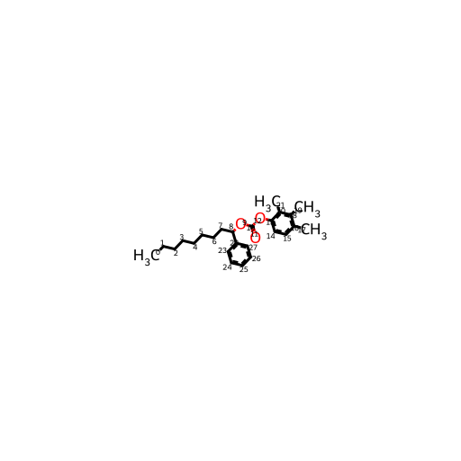 CCCCCCCCC(OC(=O)Oc1ccc(C)c(C)c1C)c1ccccc1